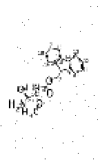 COC(NC(=O)OCC1c2ccccc2-c2ccccc21)C(N)=O